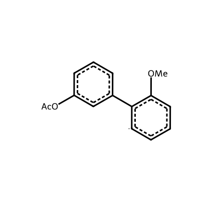 COc1ccc[c]c1-c1cccc(OC(C)=O)c1